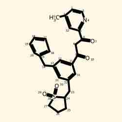 Cc1ccnc(C(=O)CC(=O)c2cc(Cc3ccccc3)cc(CC3CCCS3(=O)=O)c2)c1